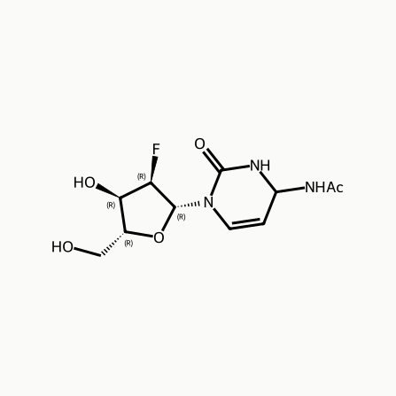 CC(=O)NC1C=CN([C@@H]2O[C@H](CO)[C@@H](O)[C@H]2F)C(=O)N1